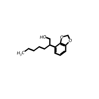 CCCCCC(CO)c1cccc2c1OCO2